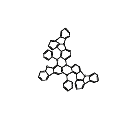 c1ccc(N2c3cc4c(oc5ccccc54)c4c3B(c3ccc5c(c32)c2cccc3c6ccccc6n5c32)c2ccc3c(c2N4c2ccccc2)c2cccc4c5ccccc5n3c42)cc1